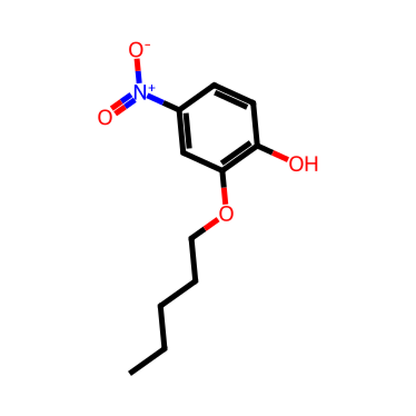 CCCCCOc1cc([N+](=O)[O-])ccc1O